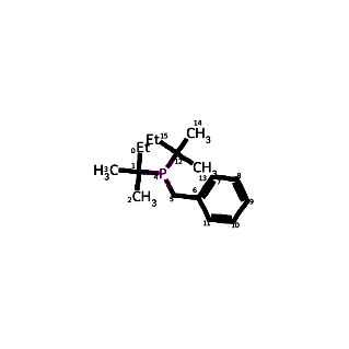 CCC(C)(C)P(Cc1ccccc1)C(C)(C)CC